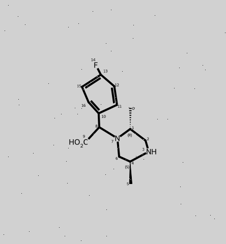 C[C@@H]1CN[C@@H](C)CN1C(C(=O)O)c1ccc(F)cc1